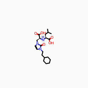 CC(C)C[C@H](N[C@@H](Cn1ccn(CCC2CCCCC2)c1=O)C(=O)O)C(=O)O